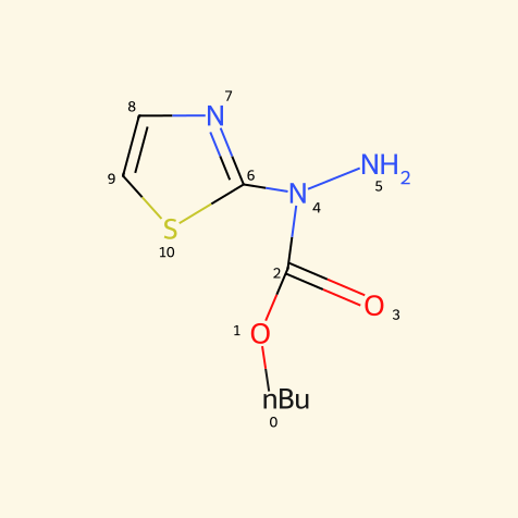 CCCCOC(=O)N(N)c1nccs1